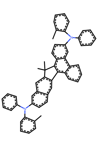 Cc1ccccc1N(c1ccccc1)c1ccc2cc3c(cc2c1)C(C)(C)c1c-3c2ccccc2c2cc(N(c3ccccc3)c3ccccc3C)ccc12